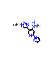 CCCn1cc(-c2cnc(-n3cccn3)cc2NC(C)C)nn1